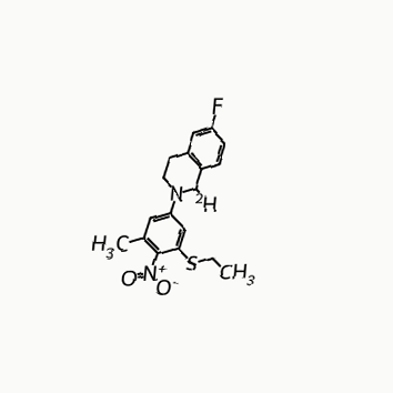 [2H]C1c2ccc(F)cc2CCN1c1cc(C)c([N+](=O)[O-])c(SCC)c1